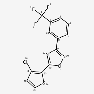 FC(F)(F)c1cccc(-c2noc(-c3sccc3Cl)n2)c1